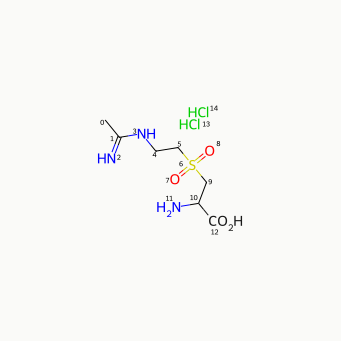 CC(=N)NCCS(=O)(=O)CC(N)C(=O)O.Cl.Cl